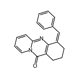 O=c1c2c(nc3ccccn13)/C(=C\c1ccccc1)CCC2